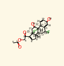 CC(=O)OCC(=O)C1=CC[C@H]2[C@@H]3C[C@H](F)C4=CC(=O)C=C[C@]4(C)[C@@]3(F)C(=O)C[C@]12C